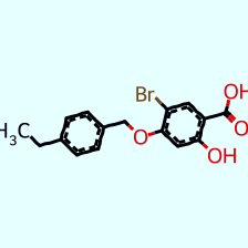 CCc1ccc(COc2cc(O)c(C(=O)O)cc2Br)cc1